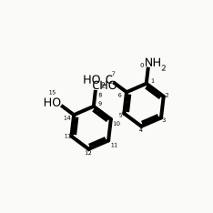 Nc1ccccc1C(=O)O.O=Cc1ccccc1O